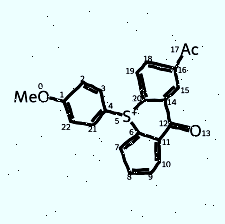 COc1ccc(-[s+]2c3ccccc3c(=O)c3cc(C(C)=O)ccc32)cc1